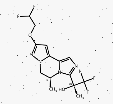 C[C@H]1Cn2nc(OCC(F)F)cc2-c2cnc([C@@](C)(O)C(F)(F)F)n21